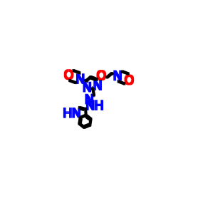 C(=NNc1c[nH]c2ccccc12)c1nc(OCCN2CCOCC2)cc(N2CCOCC2)n1